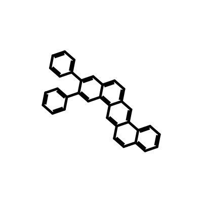 c1ccc(-c2cc3ccc4cc5c(ccc6ccccc65)cc4c3cc2-c2ccccc2)cc1